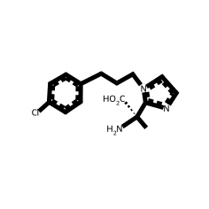 C[C@](N)(C(=O)O)c1nccn1CCCc1ccc(Cl)cc1